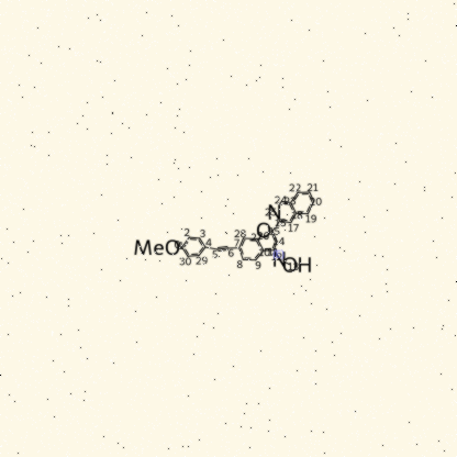 COc1ccc(C#Cc2ccc3/c(=N/O)cc(-c4cc5ccccc5cn4)oc3c2)cc1